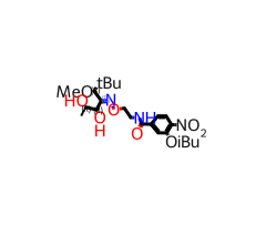 CO[C@H](/C(=N/OCCNC(=O)c1ccc([N+](=O)[O-])c(OCC(C)C)c1)[C@@H](O)[C@@H](C)O)C(C)(C)C